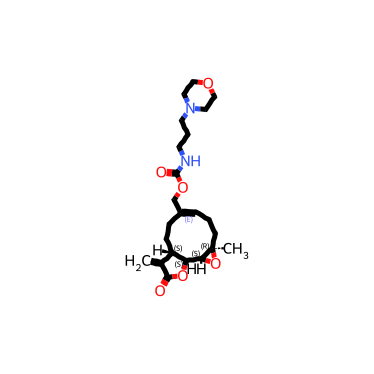 C=C1C(=O)O[C@H]2[C@H]1CC/C(COC(=O)NCCCN1CCOCC1)=C\CC[C@@]1(C)O[C@@H]21